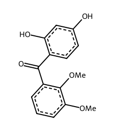 COc1cccc(C(=O)c2ccc(O)cc2O)c1OC